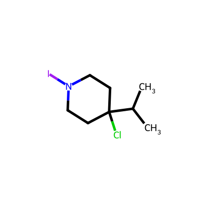 CC(C)C1(Cl)CCN(I)CC1